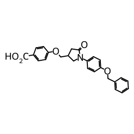 O=C(O)c1ccc(OCC2CC(=O)N(c3ccc(OCc4ccccc4)cc3)C2)cc1